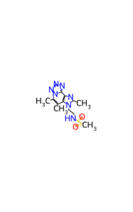 Cc1c(C)n2nnnc2c2nc(C)n(CCNS(C)(=O)=O)c12